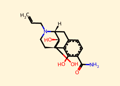 C=CCN1CC[C@]23CC(O)CC[C@@]2(O)[C@H]1Cc1ccc(C(N)=O)c(O)c13